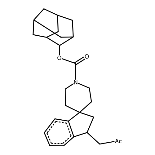 CC(=O)CC1CC2(CCN(C(=O)OC3C4CC5CC(C4)CC3C5)CC2)c2ccccc21